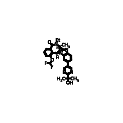 CCN1C(=O)c2cccc(OC(F)F)c2[C@H]2C[C@]1(C)c1nc3ccc(-c4cnc(C(C)(C)O)nc4)cc3n12